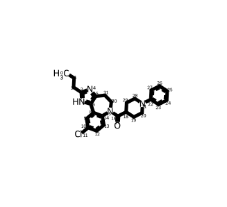 CCCc1nc2c([nH]1)-c1cc(Cl)ccc1N(C(=O)C1CCN(c3ccccc3)CC1)CC2